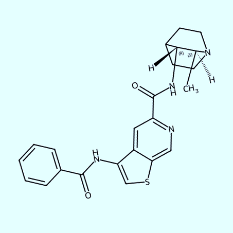 C[C@H]1[C@H](NC(=O)c2cc3c(NC(=O)c4ccccc4)csc3cn2)C2CCN1CC2